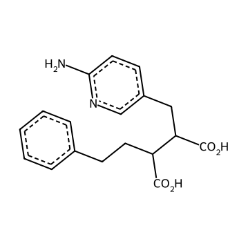 Nc1ccc(CC(C(=O)O)C(CCc2ccccc2)C(=O)O)cn1